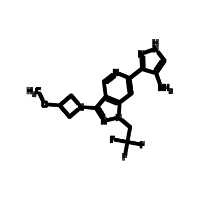 COC1CN(c2nn(CC(F)(F)F)c3cc(-c4n[nH]cc4N)ncc23)C1